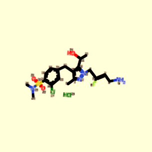 Cc1nn(CC(F)=CCN)c(C(C)O)c1Cc1ccc(S(=O)(=O)N(C)C)c(Cl)c1.Cl